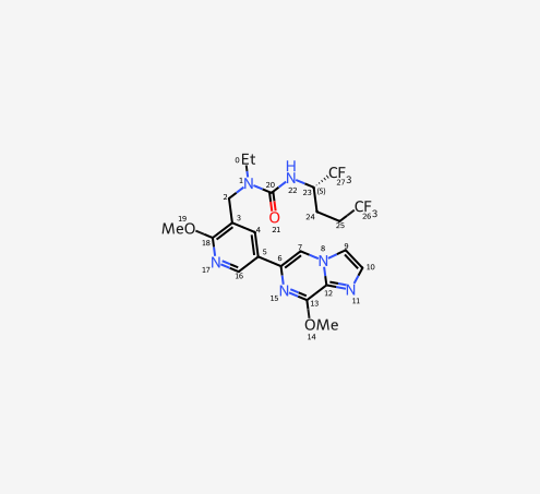 CCN(Cc1cc(-c2cn3ccnc3c(OC)n2)cnc1OC)C(=O)N[C@@H](CCC(F)(F)F)C(F)(F)F